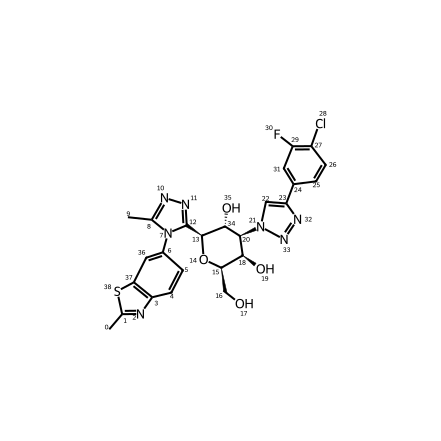 Cc1nc2ccc(-n3c(C)nnc3[C@@H]3O[C@H](CO)[C@H](O)[C@H](n4cc(-c5ccc(Cl)c(F)c5)nn4)[C@H]3O)cc2s1